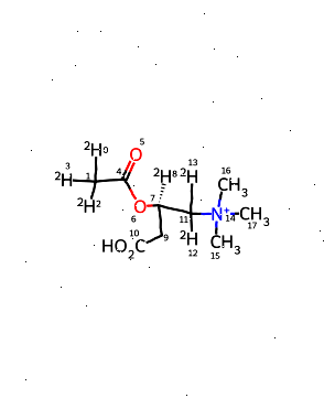 [2H]C([2H])([2H])C(=O)O[C@]([2H])(CC(=O)O)C([2H])([2H])[N+](C)(C)C